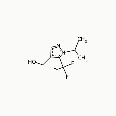 CC(C)n1ncc(CO)c1C(F)(F)F